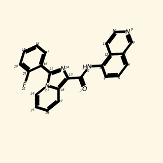 O=C(Nc1cccc2cnccc12)c1nc(-c2ccccc2F)n2ccccc12